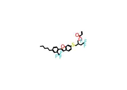 C=CC(=O)OCC(CSc1ccc2cc(-c3ccc(CCCCC)cc3C(F)(F)F)oc2c1)CC(F)(F)F